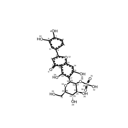 O=c1cc(-c2ccc(O)c(O)c2)oc2cc(O)c([C@@H]3O[C@H](CO)[C@@H](O)[C@H](O)[C@@H]3OS(=O)(=O)O)c(O)c12